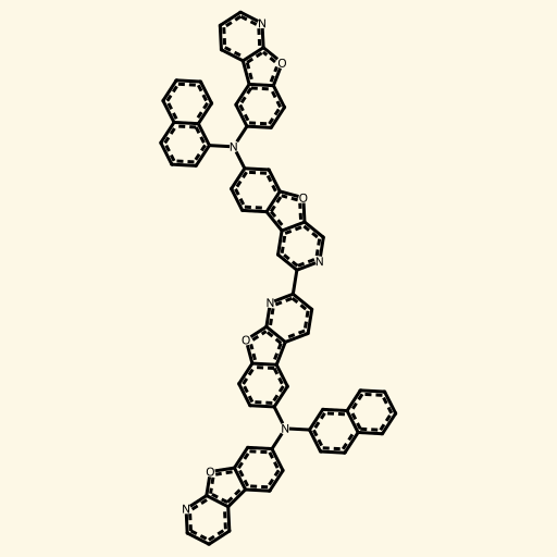 c1ccc2cc(N(c3ccc4c(c3)oc3ncccc34)c3ccc4oc5nc(-c6cc7c(cn6)oc6cc(N(c8ccc9oc%10ncccc%10c9c8)c8cccc9ccccc89)ccc67)ccc5c4c3)ccc2c1